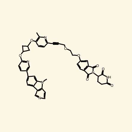 Cc1nc(C#CCOCCOc2ccc3c(c2)C(=O)N(C2CCC(=O)NC2=O)C3=O)ccc1OC1CC(Oc2ccc(-c3ccc4c5cnccc5n(C)c4c3)cn2)C1